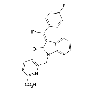 CC(C)/C(=C1\C(=O)N(Cc2cccc(C(=O)O)n2)c2ccccc21)c1ccc(F)cc1